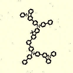 CC1(C)c2cc(-c3cccc(-c4ccc(N(c5ccc(-c6ccccc6)cc5)c5ccc(-c6ccc7c(c6)c6ccccc6n7-c6ccccc6)cc5)cc4)c3)ccc2-c2ccc(N(c3ccc(-c4ccccc4)cc3)c3ccc(-c4ccc5c(c4)c4ccccc4n5-c4ccccc4)cc3)cc21